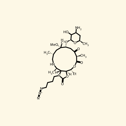 CC[C@H]1OC(=O)[C@H](C)C(=O)C[C@@H](O[C@@H]2O[C@H](C)CC(N)C2O)[C@@](C)(OC)C[C@@H](C)CN[C@H](C)[C@@H]2[C@@H]1OC(=O)N2CCCCN=[N+]=[N-]